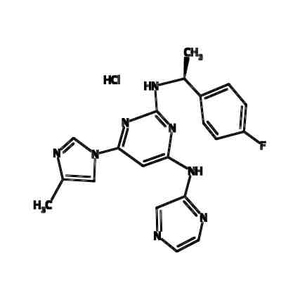 Cc1cn(-c2cc(Nc3cnccn3)nc(N[C@@H](C)c3ccc(F)cc3)n2)cn1.Cl